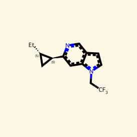 CC[C@H]1C[C@@H]1c1cc2c(ccn2CC(F)(F)F)cn1